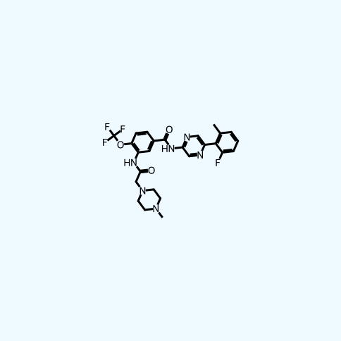 Cc1cccc(F)c1-c1cnc(NC(=O)c2ccc(OC(F)(F)F)c(NC(=O)CN3CCN(C)CC3)c2)cn1